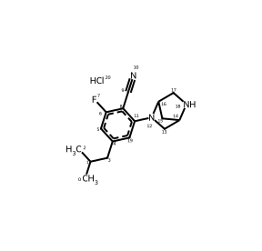 CC(C)Cc1cc(F)c(C#N)c(N2CC3CC2CN3)c1.Cl